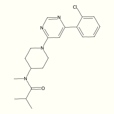 CC(C)C(=O)N(C)C1CCN(c2cc(-c3ccccc3Cl)ncn2)CC1